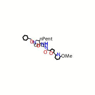 CCCCCC(CN(C=O)OCc1ccccc1)C(=O)NCNC(=O)c1ccc(-c2cccc(OC)n2)o1